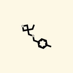 CCC1(COCc2ccc(C)cc2)COC1